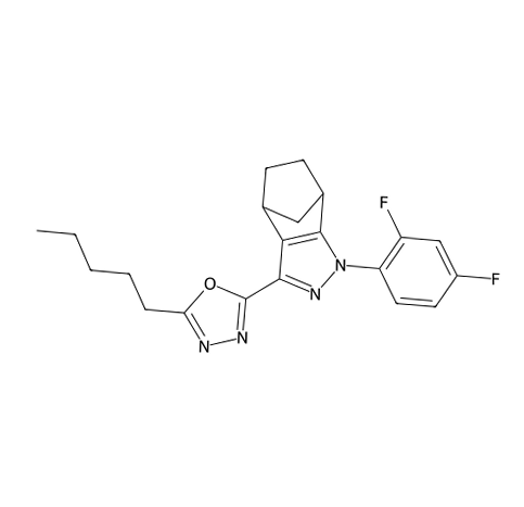 CCCCCc1nnc(-c2nn(-c3ccc(F)cc3F)c3c2C2CCC3C2)o1